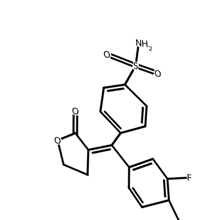 Cc1ccc(C(=C2CCOC2=O)c2ccc(S(N)(=O)=O)cc2)cc1F